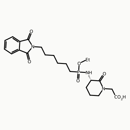 CCOP(=O)(CCCCCCN1C(=O)c2ccccc2C1=O)N[C@H]1CCCN(CC(=O)O)C1=O